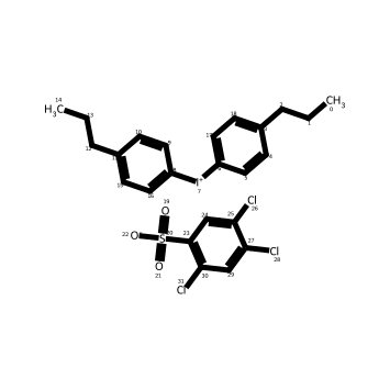 CCCc1ccc([I+]c2ccc(CCC)cc2)cc1.O=S(=O)([O-])c1cc(Cl)c(Cl)cc1Cl